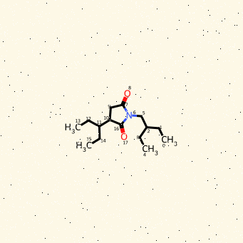 CCC(CC)CN1C(=O)CC(C(CC)CC)C1=O